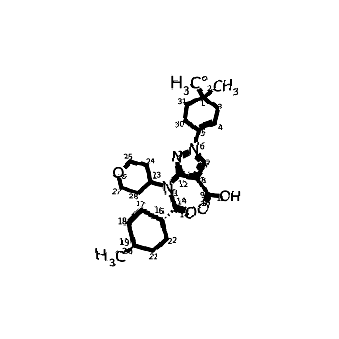 CC1(C)CC=C(n2cc(C(=O)O)c(N(C(=O)[C@H]3CC[C@H](C)CC3)C3CCOCC3)n2)CC1